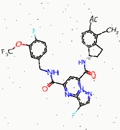 CC(=O)c1ccc2c(c1C)CC[C@@H]2NC(=O)c1cc(C(=O)NCc2ccc(F)c(OC(F)(F)F)c2)nc2c(F)cnn12